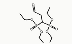 CCOP(=O)(OCC)C(CC=O)P(=O)(OCC)OCC